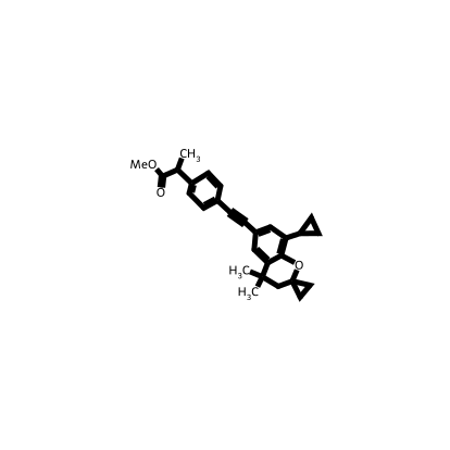 COC(=O)C(C)c1ccc(C#Cc2cc(C3CC3)c3c(c2)C(C)(C)CC2(CC2)O3)cc1